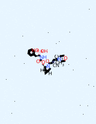 CC(C)(/C=C(\C#N)C(=O)N1C[C@@H]2C[C@@H]2[C@@H]1COC(=O)N[C@@H](Cc1ccccc1)B(O)O)N1CCOCC1